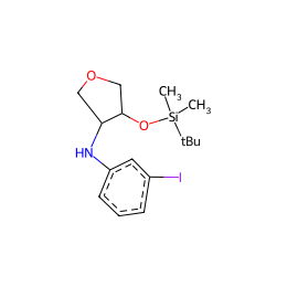 CC(C)(C)[Si](C)(C)OC1COCC1Nc1cccc(I)c1